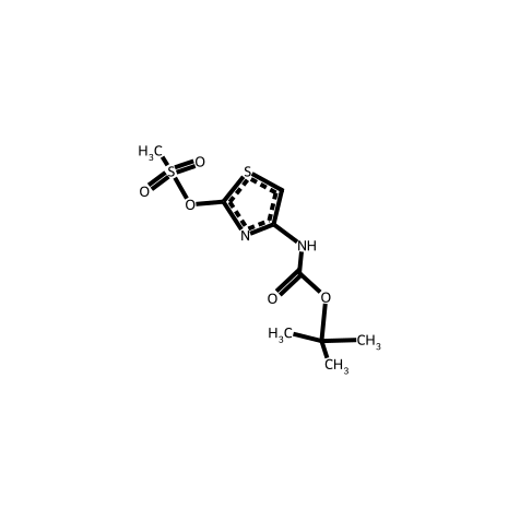 CC(C)(C)OC(=O)Nc1csc(OS(C)(=O)=O)n1